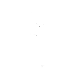 C=C(C1CC[C@@H]1C(C)CCc1ccc(C(C)C)cc1)[C@H](NCCC)C1CCCCC1